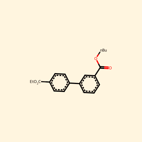 CCCCOC(=O)c1cc[c]c(-c2ccc(C(=O)OCC)cc2)c1